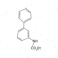 CCOC(=O)Nc1cccc(-c2cc[c]cc2)c1